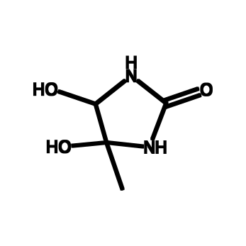 CC1(O)NC(=O)NC1O